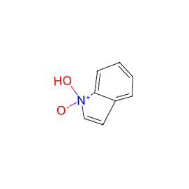 [O-][N+]1(O)C=Cc2ccccc21